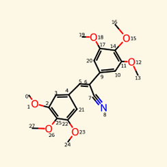 COc1cc(C=C(C#N)c2cc(OC)c(OC)c(OC)c2)cc(OC)c1OC